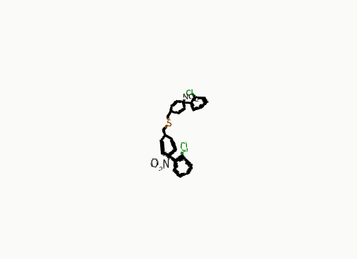 O=[N+]([O-])C1(c2ccccc2Cl)C=CC(CSCC2C=CC(c3ccccc3Cl)([N+](=O)[O-])C=C2)C=C1